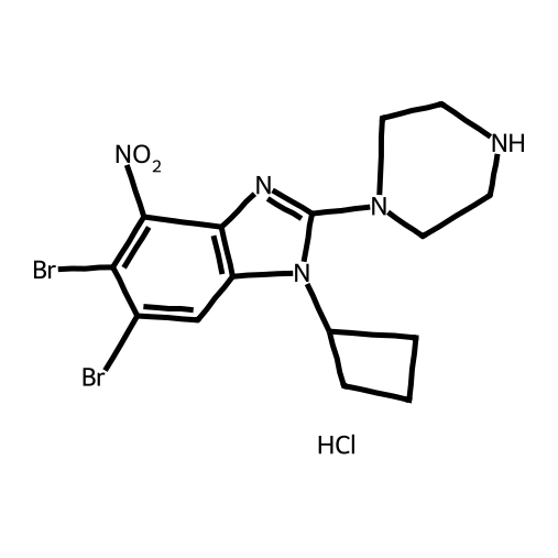 Cl.O=[N+]([O-])c1c(Br)c(Br)cc2c1nc(N1CCNCC1)n2C1CCC1